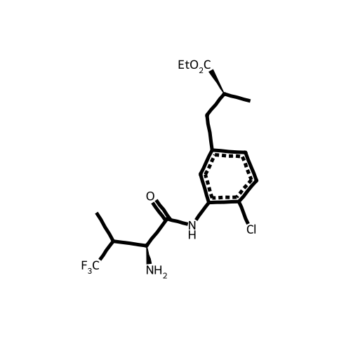 CCOC(=O)[C@@H](C)Cc1ccc(Cl)c(NC(=O)[C@@H](N)C(C)C(F)(F)F)c1